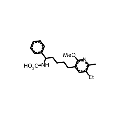 CCc1cc(CCCCC(NC(=O)O)c2ccccc2)c(OC)nc1C